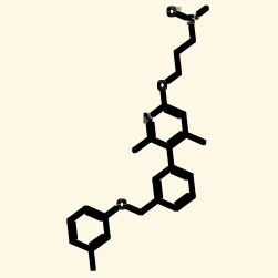 Cc1cccc(OCc2cccc(-c3c(C)cc(OCCC[S+](C)[O-])nc3C)c2)c1